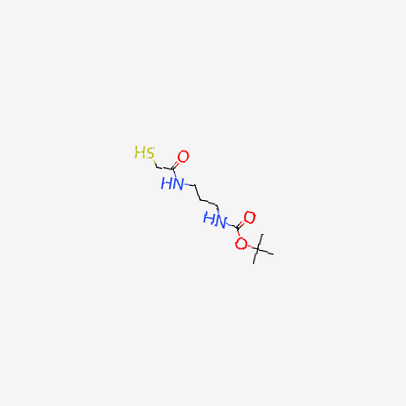 CC(C)(C)OC(=O)NCCCNC(=O)CS